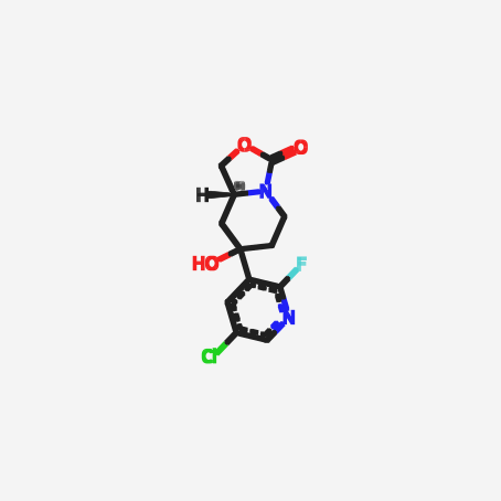 O=C1OC[C@H]2CC(O)(c3cc(Cl)cnc3F)CCN12